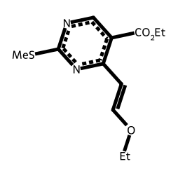 CCOC=Cc1nc(SC)ncc1C(=O)OCC